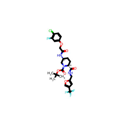 CC(C)(C)OC(=O)N1C[C@@H](NC(=O)COc2ccc(Cl)c(F)c2)CC[C@@H]1C(=O)NCc1cc(C(F)(F)F)co1